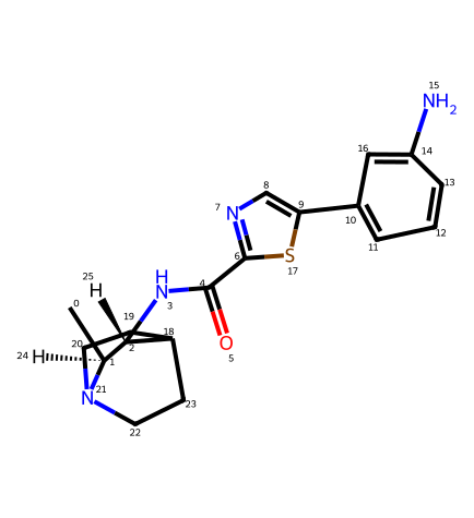 C[C@H]1[C@H](NC(=O)c2ncc(-c3cccc(N)c3)s2)C2CCN1CC2